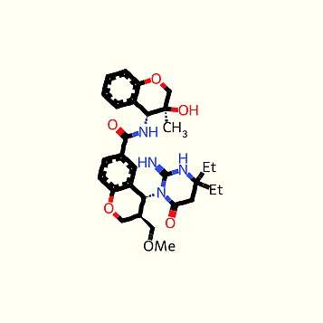 CCC1(CC)CC(=O)N([C@H]2c3cc(C(=O)N[C@@H]4c5ccccc5OC[C@@]4(C)O)ccc3OC[C@@H]2COC)C(=N)N1